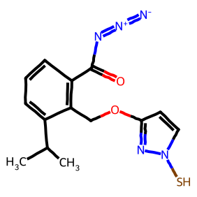 CC(C)c1cccc(C(=O)N=[N+]=[N-])c1COc1ccn(S)n1